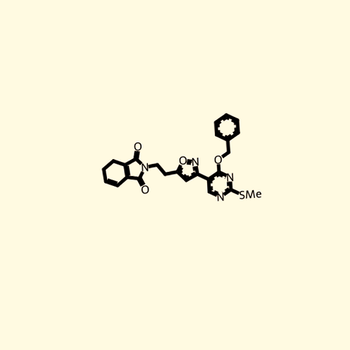 CSc1ncc(-c2cc(CCN3C(=O)C4=C(CCC=C4)C3=O)on2)c(OCc2ccccc2)n1